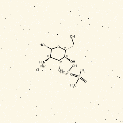 CS(C)(=O)=O.N[C@H]1C(O)O[C@H](CO)[C@@H](O)[C@@H]1O.O=S(=O)(O)O.[Cl-].[Na+]